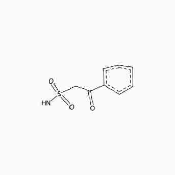 [NH]S(=O)(=O)CC(=O)c1ccccc1